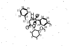 CO[C@H]1CCCC[C@@H]1OC(=O)[C@H](Cc1ccccc1)NS(=O)(=O)c1ccc(C)cc1